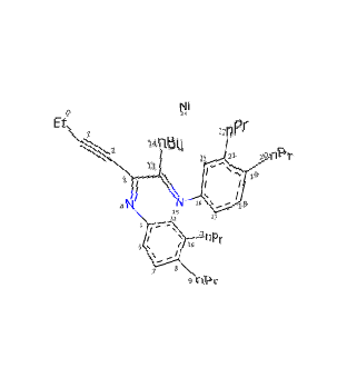 CCC#CC(=Nc1ccc(CCC)c(CCC)c1)C(CCCC)=Nc1ccc(CCC)c(CCC)c1.[Ni]